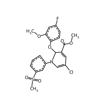 COC(=O)C1=CC(Cl)=CN(c2cccc(S(C)(=O)=O)c2)C1Oc1ccc(F)cc1OC